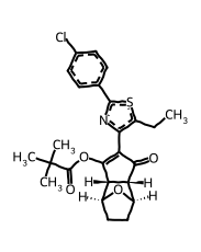 CCc1sc(-c2ccc(Cl)cc2)nc1C1=C(OC(=O)C(C)(C)C)[C@@H]2[C@H](C1=O)[C@H]1CC[C@@H]2O1